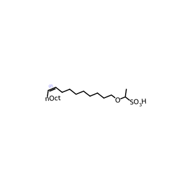 CCCCCCCC/C=C\CCCCCCCCOC(C)S(=O)(=O)O